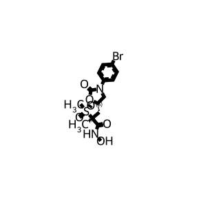 C[C@@](C[C@H]1CN(c2ccc(Br)cc2)C(=O)O1)(C(=O)NO)S(C)(=O)=O